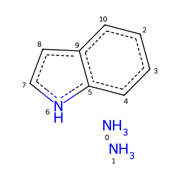 N.N.c1ccc2[nH]ccc2c1